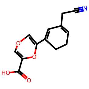 N#CCC1=CCCC(C2=COC=C(C(=O)O)O2)=C1